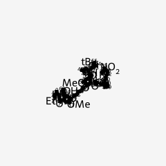 C=C1C[C@@H](CC)N(C(=O)c2cc(OC)c(OCCCCCOc3cc(NC(=O)OCC4(SSc5ccc([N+](=O)[O-])cn5)CCC4)c(C(=O)N4CC(=C)C[C@H]4CO[Si](C)(C)C(C)(C)C)cc3OC)cc2NB(C)O)C1